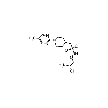 C[C@H](N)CONS(=O)(=O)CC1CCN(c2ncc(C(F)(F)F)cn2)CC1